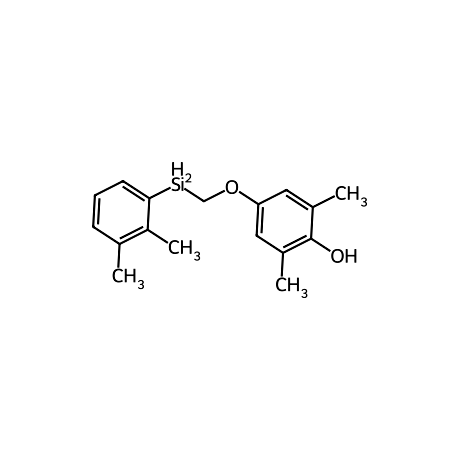 Cc1cccc([SiH2]COc2cc(C)c(O)c(C)c2)c1C